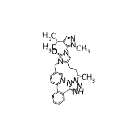 CCCCc1cn(-c2c(C(C)C)cnn2C)c(=O)n1Cc1ccc(-c2ccccc2-c2nnn[nH]2)nc1